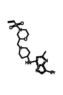 C=CS(=O)(=O)N1CCOC(CN2CCC(Nc3cc(C)nc4c(C(C)C)cnn34)CC2)C1